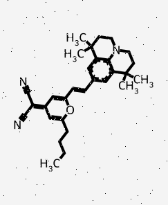 CCCCC1=CC(=C(C#N)C#N)C=C(/C=C/c2cc3c4c(c2)C(C)(C)CCN4CCC3(C)C)O1